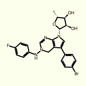 C[C@H]1O[C@@H](n2cc(-c3ccc(Br)cc3)c3c2N=CN(Nc2ccc(F)cc2)C3)[C@H](O)[C@@H]1O